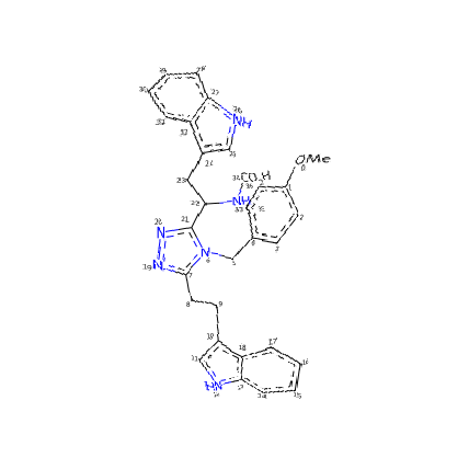 COc1ccc(Cn2c(CCc3c[nH]c4ccccc34)nnc2C(Cc2c[nH]c3ccccc23)NC(=O)O)cc1